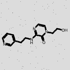 O=c1c(NCCc2cccnc2)nccn1CCO